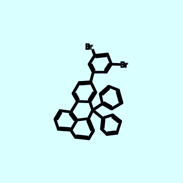 Brc1cc(Br)cc(-c2ccc3c(c2)C(c2ccccc2)(c2ccccc2)c2cccc4cccc-3c24)c1